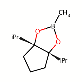 CB1O[C@]2(C(C)C)CCC[C@]2(C(C)C)O1